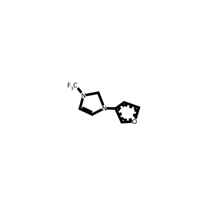 FC(F)(F)N1C=CN(c2ccoc2)C1